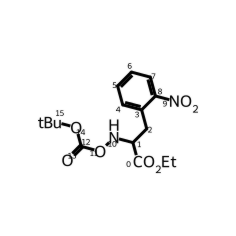 CCOC(=O)C(Cc1ccccc1[N+](=O)[O-])NOC(=O)OC(C)(C)C